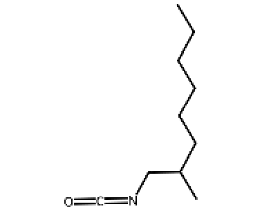 CCCCCCC(C)CN=C=O